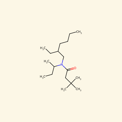 CCCCC(CC)CN(C(=O)CC(C)(C)C)C(C)CC